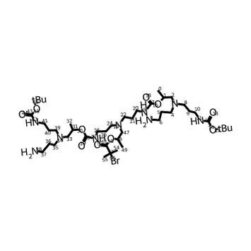 CC(CN(CCCN)CCCNC(=O)OC(C)(C)C)OC(=O)NCCCN(CCCNC(=O)OC(C)CN(CCCN)CCCNC(=O)OC(C)(C)C)CC(C)OC(=O)C(C)(C)Br